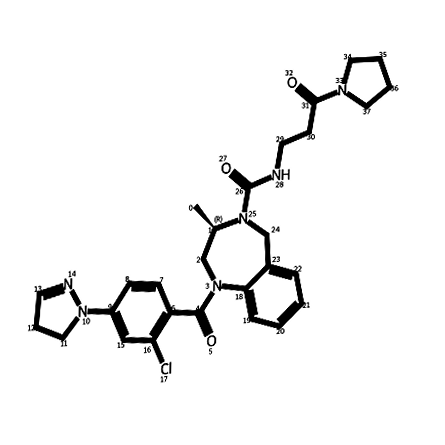 C[C@@H]1CN(C(=O)c2ccc(N3CCC=N3)cc2Cl)c2ccccc2CN1C(=O)NCCC(=O)N1CCCC1